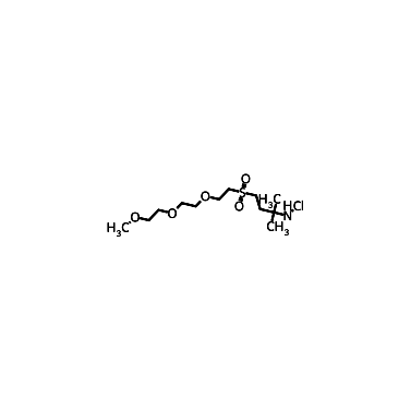 COCCOCCOCCS(=O)(=O)CCC(C)(C)NCl